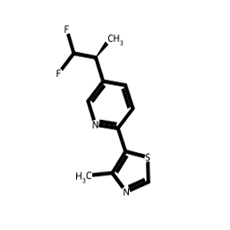 Cc1ncsc1-c1ccc([C@H](C)C(F)F)cn1